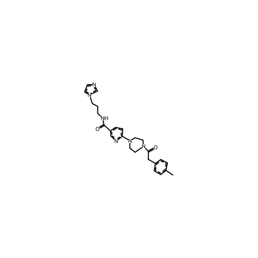 Cc1ccc(CC(=O)N2CCN(c3ccc(C(=O)NCCCn4ccnc4)cn3)CC2)cc1